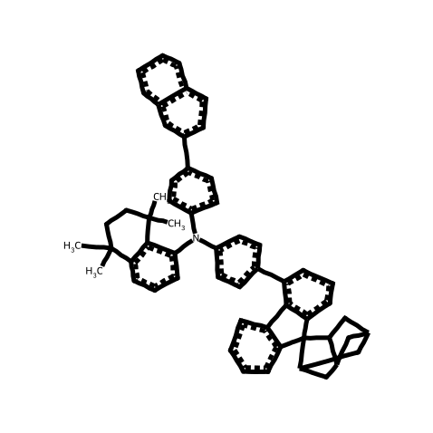 CC1(C)CCC(C)(C)c2c(N(c3ccc(-c4ccc5ccccc5c4)cc3)c3ccc(-c4cccc5c4-c4ccccc4C54C5CC6CC(C5)C4C6)cc3)cccc21